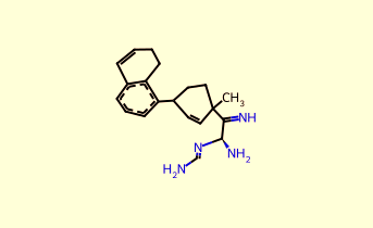 CC1(C(=N)[C@@H](N)/N=C/N)C=CC(c2cccc3c2CCC=C3)CC1